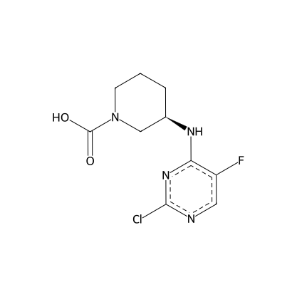 O=C(O)N1CCC[C@@H](Nc2nc(Cl)ncc2F)C1